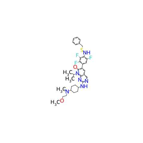 COCCN(C)C1CCC(Nc2ncc3cc(-c4cc(F)c(NSCc5ccccc5)c(F)c4F)c(=O)n(C(C)C)c3n2)CC1